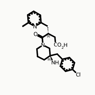 Cc1cccc(C[C@H](CC(=O)O)C(=O)N2CCC[C@@](N)(Cc3ccc(Cl)cc3)C2)n1